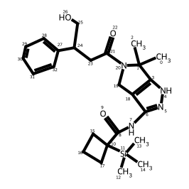 CC1(C)c2[nH]nc(NC(=O)C3([Si](C)(C)C)CCC3)c2CN1C(=O)CC(CO)c1ccccc1